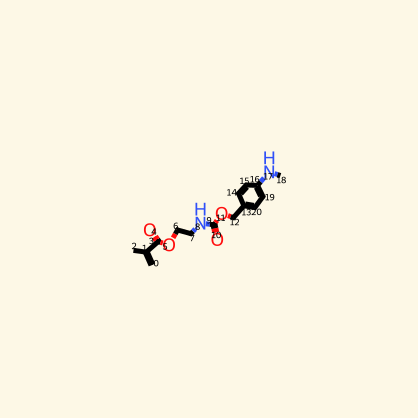 C=C(C)C(=O)OCCNC(=O)OCc1ccc(NC)cc1